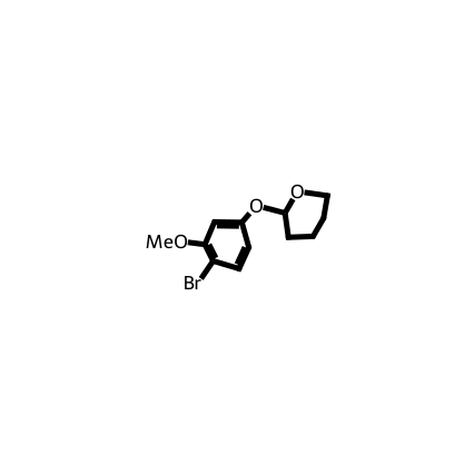 COc1cc(OC2CCCCO2)ccc1Br